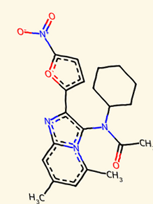 CC(=O)N(c1c(-c2ccc([N+](=O)[O-])o2)nc2cc(C)cc(C)n12)C1CCCCC1